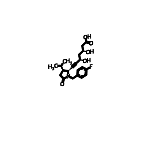 CC(C)[C@@H]1CC(=O)N(Cc2ccc(F)cc2)[C@H]1C#C[C@@H](O)C[C@@H](O)CC(=O)O